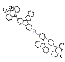 CC1(C)C2=C(CCC=C2)N(c2ccc3c(c2)C(c2ccccc2)(C2C=CC=CC2)c2cc(/C=C/c4ccc5c(c4)C4(Cc6ccccc6C4)c4cc(N6C7=C(CCC=C7)C(C)(C)c7ccccc76)ccc4-5)ccc2-3)c2ccccc21